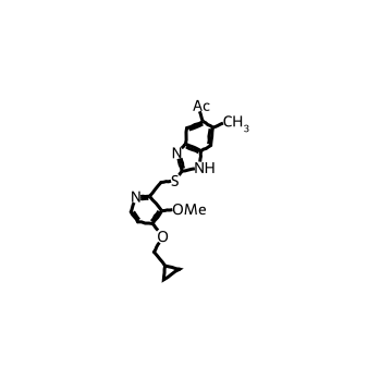 COc1c(OCC2CC2)ccnc1CSc1nc2cc(C(C)=O)c(C)cc2[nH]1